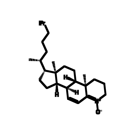 CC(C)CCC[C@@H](C)[C@H]1CC[C@H]2[C@@H]3C=CC4=[N+]([O-])CCC[C@]4(C)[C@H]3CC[C@]12C